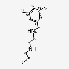 CCCNCCNCc1cc(C)cc(C)n1